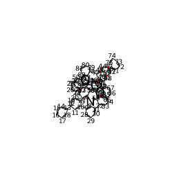 O=C1c2cccc(-n3c4c(-c5cc(-c6ccccc6)cc(-c6ccccc6)c5)cccc4c4cccc(-c5cc(-c6ccccc6)cc(-c6ccccc6)c5)c43)c2C(=O)N1c1c(-c2ccccc2)cc(-c2ccccc2)cc1-c1ccccc1